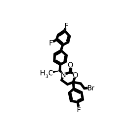 C[C@@H](c1ccc(-c2ccc(F)cc2F)cc1)N1CCC(CCBr)(c2ccc(F)cc2)OC1=O